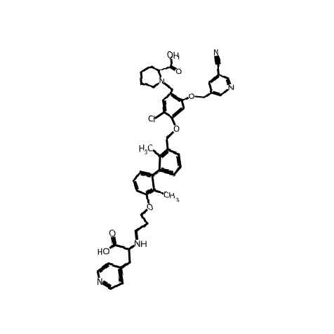 Cc1c(COc2cc(OCc3cncc(C#N)c3)c(CN3CCCC[C@H]3C(=O)O)cc2Cl)cccc1-c1cccc(OCCCNC(Cc2ccncc2)C(=O)O)c1C